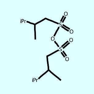 CC(C)C(C)CS(=O)(=O)OS(=O)(=O)CC(C)C(C)C